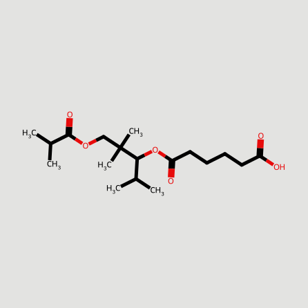 CC(C)C(=O)OCC(C)(C)C(OC(=O)CCCCC(=O)O)C(C)C